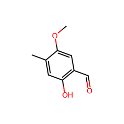 COc1cc(C=O)c(O)cc1C